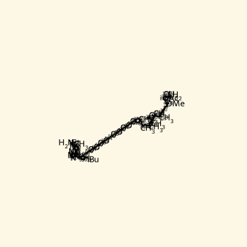 C=C(C(C)=O)C1O[C@H](CC(/C=C/C=C/C=C/C(C)CC(C)C(=O)CC(/C(C)=C/C(C)CCC(C)CCC2(C)CCC(OCCOCCOCCOCCOCCCCOCCOCCOCCOCCCCc3cc(Cn4nc(-c5ccc(C)c(/N=C(/N)CC)c5)c5c(N)ncnc54)ccc3CC(C)CC)CC2)C2CC2)OC)CC[C@H]1C